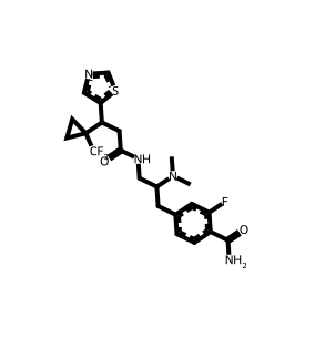 CN(C)C(CNC(=O)CC(c1cncs1)C1(C(F)(F)F)CC1)Cc1ccc(C(N)=O)c(F)c1